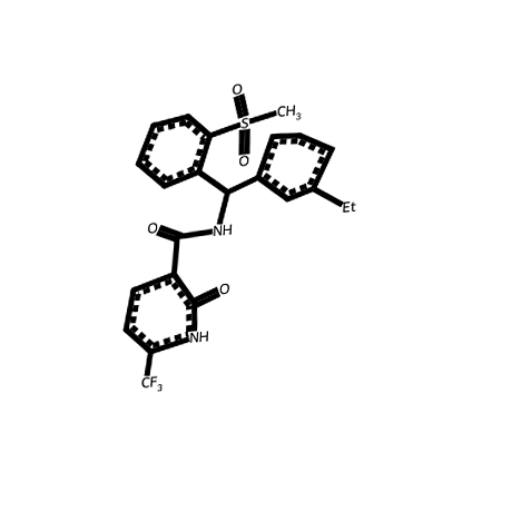 CCc1cccc(C(NC(=O)c2ccc(C(F)(F)F)[nH]c2=O)c2ccccc2S(C)(=O)=O)c1